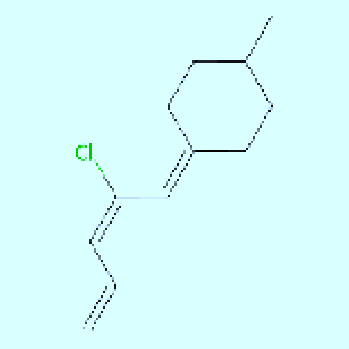 C=C/C=C(/Cl)C=C1CCC(C)CC1